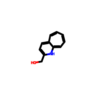 OCC1=CC=C2C=CC=CC=C2N1